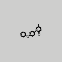 Cc1ccc(=O)n(-c2ccc(Oc3ccccc3)cc2)c1